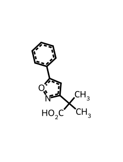 CC(C)(C(=O)O)c1cc(-c2ccccc2)on1